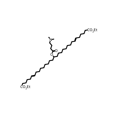 CCOC(=O)CCCCC=CCCCCCCCCC(CCCCCCCCC=CCCCCC(=O)OCC)OC(=O)CCCN(C)C